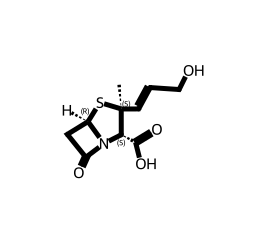 C[C@@]1(C=CCO)S[C@@H]2CC(=O)N2[C@H]1C(=O)O